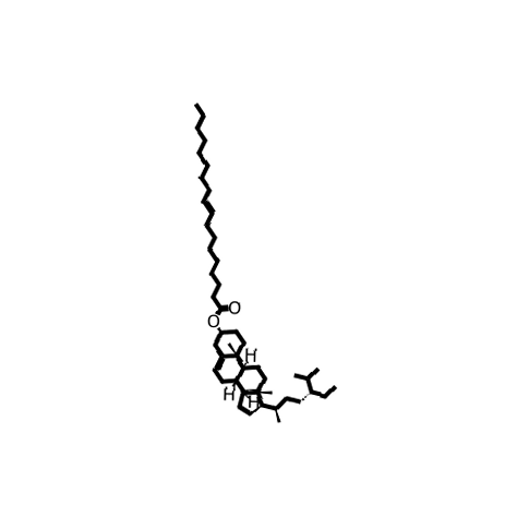 CCCCCCCC/C=C/CCCCCCCC(=O)O[C@H]1CC[C@@]2(C)C(=CC[C@H]3[C@@H]4CC[C@H]([C@H](C)CC[C@@H](CC)C(C)C)[C@@]4(C)CC[C@@H]32)C1